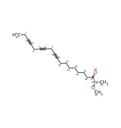 CCC#CCC#CCC#CCCCCCCCC(=O)N(C)OC